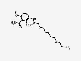 COc1ccc(NC(=O)COCCOCCOCCN)c(O)c1C(N)=O